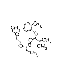 C=C(C)C(=O)Oc1ccccc1C.C=CC(=O)OCCOCC